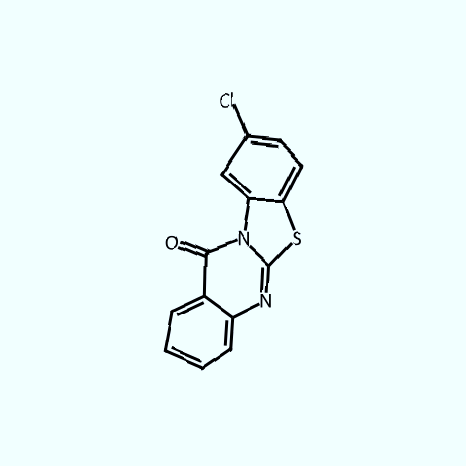 O=c1c2ccccc2nc2sc3ccc(Cl)cc3n12